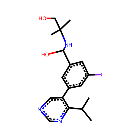 CC(C)c1ncncc1-c1cc(I)cc(C(O)NC(C)(C)CO)c1